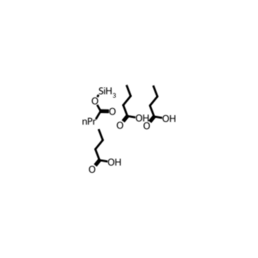 CCCC(=O)O.CCCC(=O)O.CCCC(=O)O.CCCC(=O)O[SiH3]